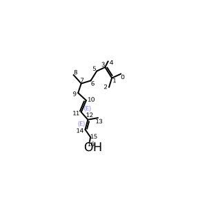 CC(C)=C(C)CCC(C)C/C=C/C(C)=C/CO